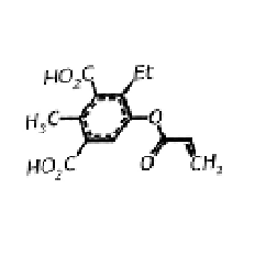 C=CC(=O)Oc1cc(C(=O)O)c(C)c(C(=O)O)c1CC